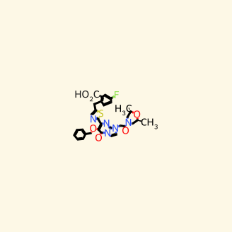 C[C@H]1CN(C(=O)Cn2ccn3c(=O)c(OCc4ccccc4)c(-c4ncc(Cc5ccc(F)cc5C(=O)O)s4)nc23)C[C@H](C)O1